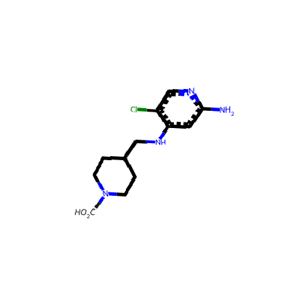 Nc1cc(NCC2CCN(C(=O)O)CC2)c(Cl)cn1